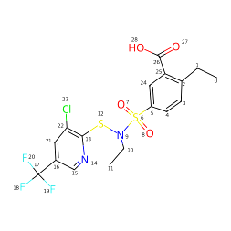 CCc1ccc(S(=O)(=O)N(CC)Sc2ncc(C(F)(F)F)cc2Cl)cc1C(=O)O